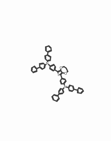 c1ccc(-c2ccc(N(c3ccc(-c4ccccc4)cc3)c3ccc(-c4sc(-c5ccc(N(c6ccc(-c7ccccc7)cc6)c6ccc(-c7ccccc7)cc6)cc5)c5c4OCCCO5)cc3)cc2)cc1